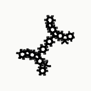 CC1(C)c2ccccc2-c2cc3c4cc5c(cc4n(-c4ccc(-c6ccc(-n7c8cc9c(cc8c8cc%10c(cc87)sc7ccccc7%10)-c7ccccc7C9(C)C)cc6)cc4)c3cc21)sc1ccccc15